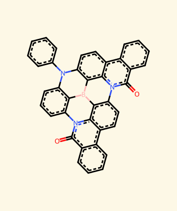 O=c1c2ccccc2c2ccc3c4c2n1-c1ccc2c5ccccc5c(=O)n5c2c1B4c1c(cccc1-5)N3c1ccccc1